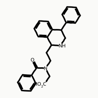 O=C(O)CN(CCC1NCC(c2ccccc2)c2ccccc21)C(=O)c1ccccc1